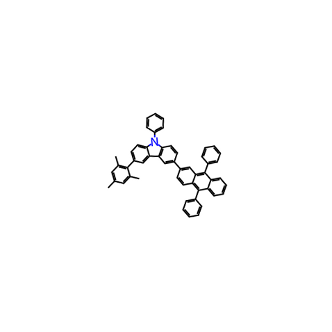 Cc1cc(C)c(-c2ccc3c(c2)c2cc(-c4ccc5c(-c6ccccc6)c6ccccc6c(-c6ccccc6)c5c4)ccc2n3-c2ccccc2)c(C)c1